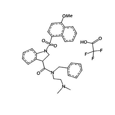 COc1ccc(S(=O)(=O)N2CC(C(=O)N(CCN(C)C)Cc3ccccc3)c3ccccc32)c2ccccc12.O=C(O)C(F)(F)F